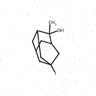 CC1(O)C2CC3CC1CC(I)(C3)C2